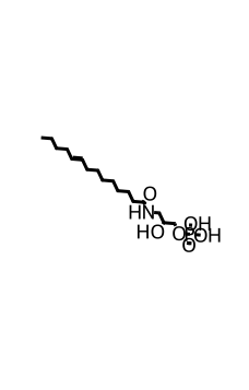 CCCCC=CCCCCCCCC(=O)NCC(O)COP(=O)(O)O